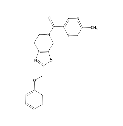 Cc1cnc(C(=O)N2CCc3nc(COc4ccccc4)oc3C2)cn1